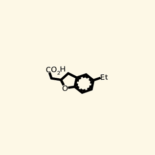 CCc1ccc2c(c1)CC(CC(=O)O)O2